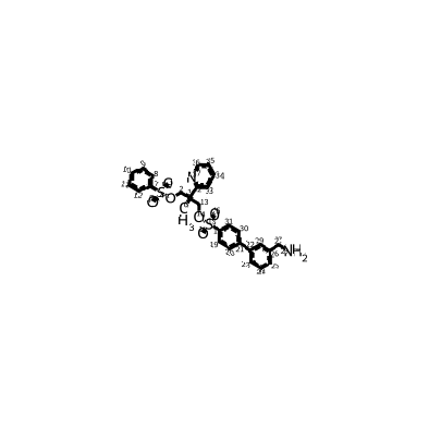 CC(COS(=O)(=O)c1ccccc1)(COS(=O)(=O)c1ccc(-c2cccc(CN)c2)cc1)c1ccccn1